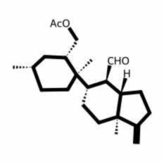 C=C1CC[C@H]2[C@H](C=O)[C@@H]([C@@]3(C)CC[C@H](C)C[C@@H]3COC(C)=O)CC[C@]12C